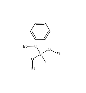 CCO[Si](C)(OCC)OCC.c1ccccc1